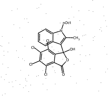 CCCCCCCCn1c(C)c(C2(O)OC(=O)c3c(Cl)c(Cl)c(Cl)c(Cl)c32)c2ccccc21